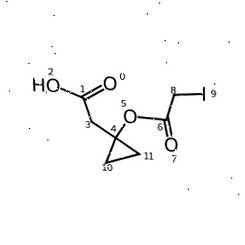 O=C(O)CC1(OC(=O)CI)CC1